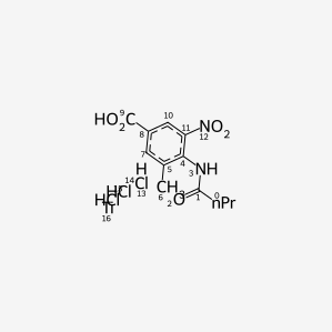 CCCC(=O)Nc1c(C)cc(C(=O)O)cc1[N+](=O)[O-].Cl.Cl.Cl.[Ti]